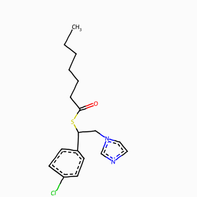 CCCCCCC(=O)SC(Cn1ccnc1)c1ccc(Cl)cc1